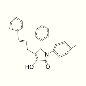 Cc1ccc(N2C(=O)C(O)=C(CC=Cc3ccccc3)C2c2ccccc2)cc1